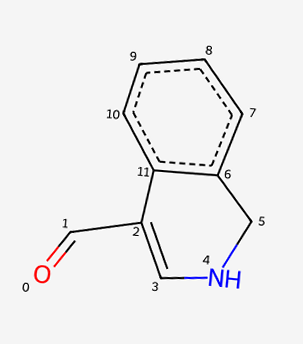 O=CC1=CNCc2ccccc21